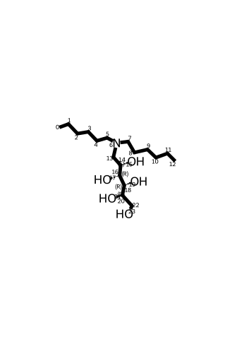 CCCCCCN(CCCCCC)C[C@H](O)[C@@H](O)[C@H](O)[C@H](O)CO